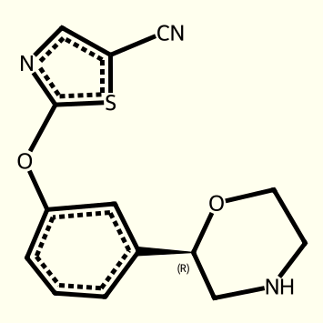 N#Cc1cnc(Oc2cccc([C@@H]3CNCCO3)c2)s1